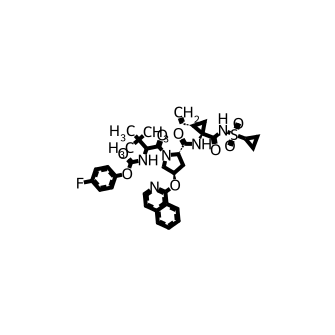 C=C[C@@H]1C[C@]1(NC(=O)[C@@H]1C[C@@H](Oc2nccc3ccccc23)CN1C(=O)C(NC(=O)Oc1ccc(F)cc1)C(C)(C)C)C(=O)NS(=O)(=O)C1CC1